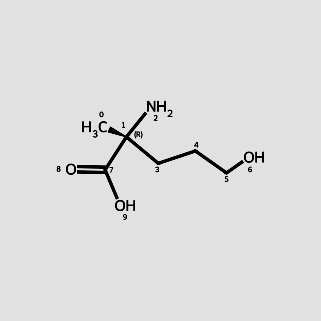 C[C@@](N)(CCCO)C(=O)O